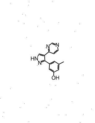 Cc1cc(O)cc(-c2n[nH]cc2-c2ccncn2)c1